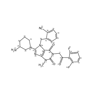 Cn1c(=O)n(CC(=O)c2c(F)cccc2F)c(=O)c2c1nc(N1CCCC(N)C1)n2Cc1ccccc1C#N